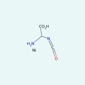 NC(N=C=O)C(=O)O.[Ni]